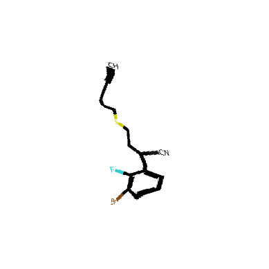 C#CCCSCCC(C#N)c1cccc(Br)c1F